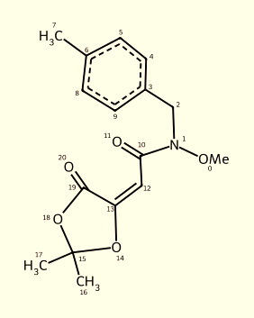 CON(Cc1ccc(C)cc1)C(=O)C=C1OC(C)(C)OC1=O